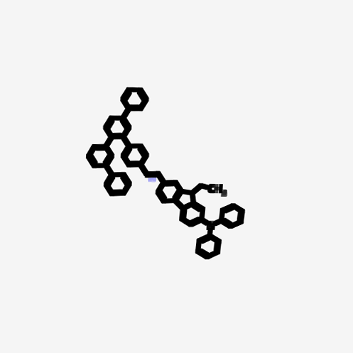 CCC1c2cc(/C=C/c3ccc(-c4cc(-c5ccccc5)ccc4-c4cccc(-c5ccccc5)c4)cc3)ccc2-c2ccc(N(c3ccccc3)c3ccccc3)cc21